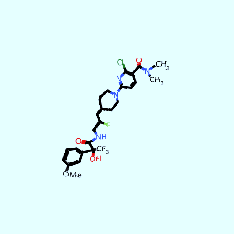 COc1cccc(C(O)(C(=O)NCC(F)CC2CCN(c3ccc(C(=O)N(C)C)c(Cl)n3)CC2)C(F)(F)F)c1